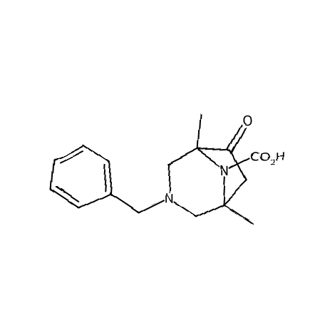 CC12CC(=O)C(C)(CN(Cc3ccccc3)C1)N2C(=O)O